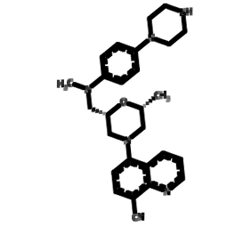 C[C@@H]1CN(c2ccc(C#N)c3ncccc23)C[C@H](CN(C)c2ccc(N3CCNCC3)cc2)O1